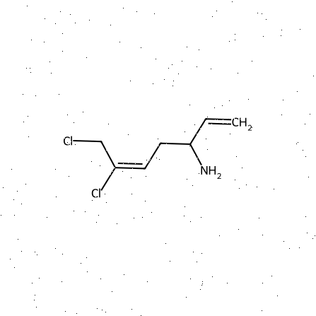 C=CC(N)C/C=C(/Cl)CCl